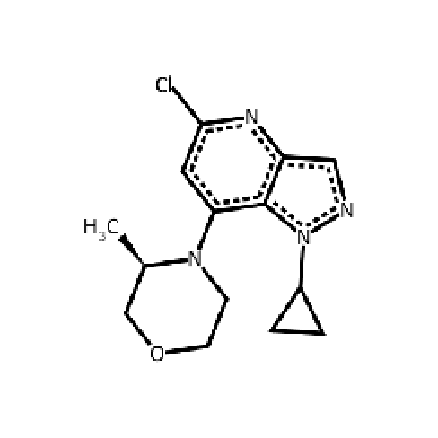 C[C@@H]1COCCN1c1cc(Cl)nc2cnn(C3CC3)c12